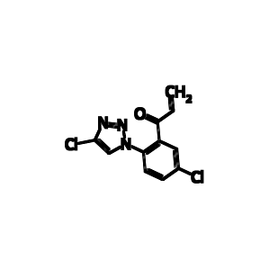 C=CC(=O)c1cc(Cl)ccc1-n1cc(Cl)nn1